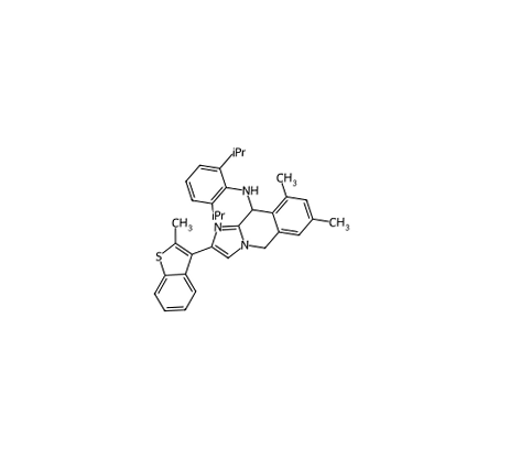 Cc1cc(C)c2c(c1)Cn1cc(-c3c(C)sc4ccccc34)nc1C2Nc1c(C(C)C)cccc1C(C)C